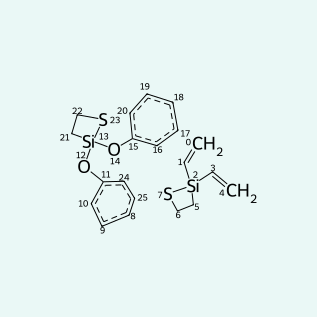 C=C[Si]1(C=C)CCS1.c1ccc(O[Si]2(Oc3ccccc3)CCS2)cc1